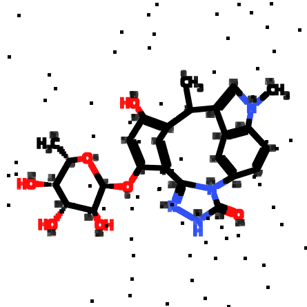 CC1c2cc(c(O[C@@H]3O[C@@H](C)[C@@H](O)[C@@H](O)[C@@H]3O)cc2O)-c2n[nH]c(=O)n2-c2ccc3c(c2)c1cn3C